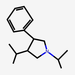 CC(C)C1CN(C(C)C)CC1c1ccccc1